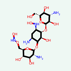 N[C@@H]1[C@@H](O)[C@@H](O[C@H]2[C@H](NO)C[C@H](N)C(O[C@H]3O[C@H](CONO)[C@@H](O)[C@H](O)[C@H]3N)[C@@H]2O)O[C@H](CO)[C@H]1O